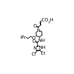 CCc1[nH]c(C(=O)N[C@@H]2CCN(C(=O)/C=C/C(=O)O)C[C@@H]2OCCC(C)C)nc1Cl